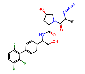 CC(C)[C@H](N=[N+]=[N-])C(=O)N1C[C@H](O)C[C@H]1C(=O)N[C@@H](CO)c1ccc(-c2c(F)ccc(F)c2F)cc1